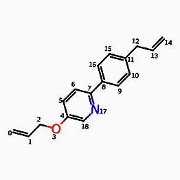 C=CCOc1ccc(-c2ccc(CC=C)cc2)nc1